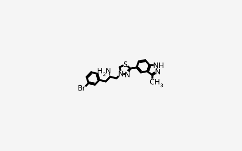 Cc1n[nH]c2ccc(C3=NN(C[C@@H](N)Cc4cccc(Br)c4)CS3)cc12